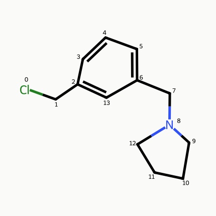 ClCc1cccc(CN2CCCC2)c1